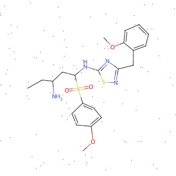 CCC(N)CC(Nc1nc(Cc2ccccc2OC)ns1)S(=O)(=O)c1ccc(OC)cc1